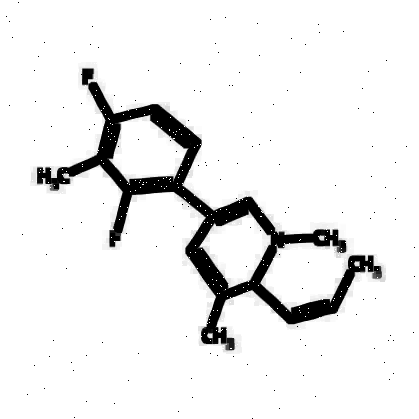 C/C=C\C1C(C)=CC(c2ccc(F)c(C)c2F)=CN1C